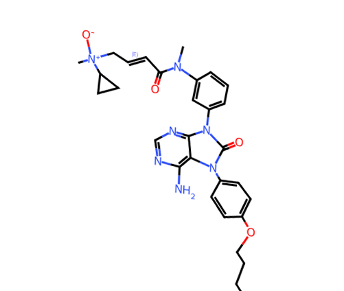 CCCCOc1ccc(-n2c(=O)n(-c3cccc(N(C)C(=O)/C=C/C[N+](C)([O-])C4CC4)c3)c3ncnc(N)c32)cc1